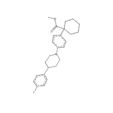 COC(=O)C1(c2ccc(N3CCC(c4ccc(F)cc4)CC3)cc2)CCCCC1